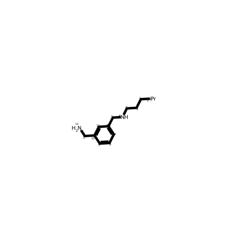 CC(C)CCCNCc1cccc(CN)c1